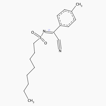 CCCCCCCCS(=O)(=O)/N=C(\C#N)c1ccc(C)cc1